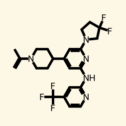 C=C(C)N1CCC(c2cc(Nc3cc(C(F)(F)F)ccn3)nc(N3CCC(F)(F)C3)c2)CC1